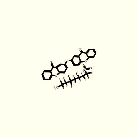 O=S(=O)([O-])C(F)(F)C(F)(F)C(F)(F)C(F)(F)C(F)(F)C(F)(F)C(F)(F)C(F)(F)F.O=c1c2ccccc2oc2ccc([I+]c3ccc4oc5ccccc5c(=O)c4c3)cc12